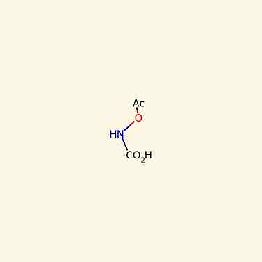 CC(=O)ONC(=O)O